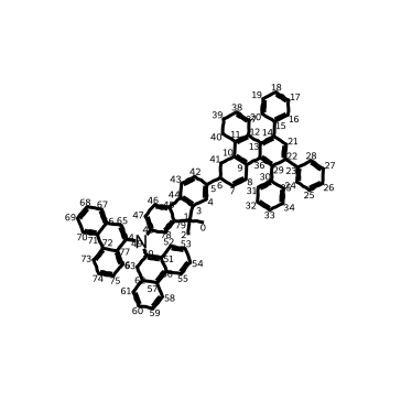 CC1(C)c2cc(C3C=Cc4c(c5c(c6c(-c7ccccc7)cc(-c7ccccc7)c(-c7ccccc7)c46)C=CCC5)C3)ccc2-c2ccc(N(C3=c4ccccc4=C4C=CC=CC4C3)c3cc4ccccc4c4ccccc34)cc21